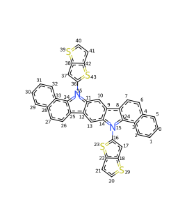 c1ccc2c(c1)ccc1c3cc4c(cc3n(-c3cc5sccc5s3)c21)c1ccc2ccccc2c1n4-c1cc2sccc2s1